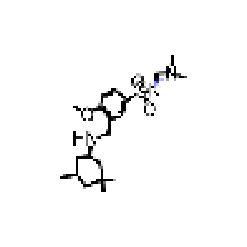 COc1ccc(S(=O)(=O)/N=C/N(C)C)cc1CNC1CC(C)CC(C)(C)C1